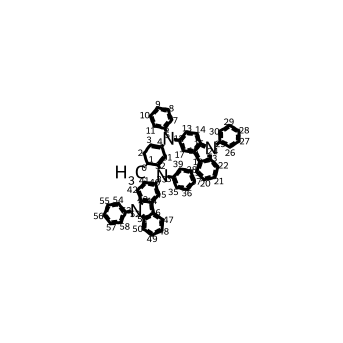 C[C@@H]1CC=C(N(c2ccccc2)c2ccc3c(c2)c2ccccc2n3-c2ccccc2)C=C1N(c1ccccc1)c1ccc2c(c1)c1ccccc1n2-c1ccccc1